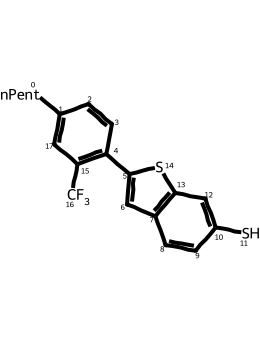 CCCCCc1ccc(-c2cc3ccc(S)cc3s2)c(C(F)(F)F)c1